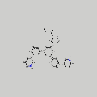 CCC(C)c1cccc(-c2cc(-c3cccc(-c4cccnc4)c3)cc(-c3cccc(-c4cccnc4)c3)c2)c1